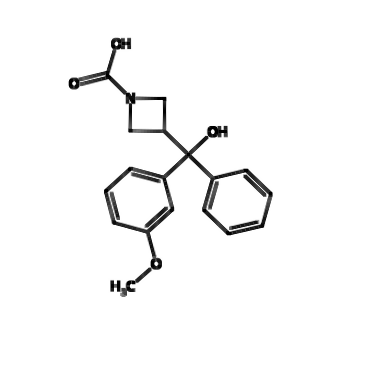 COc1cccc(C(O)(c2ccccc2)C2CN(C(=O)O)C2)c1